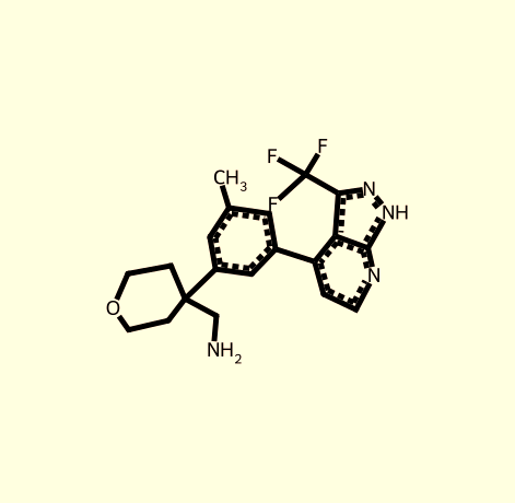 Cc1cc(-c2ccnc3[nH]nc(C(F)(F)F)c23)cc(C2(CN)CCOCC2)c1